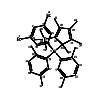 CCc1cc(CC)cc([Si](c2cc(C)ccc2C)(c2cc(C)ccc2C)C2(C)C(C)=C(C)C(C)=[C]2[Ti]([CH3])([CH3])[CH3])c1